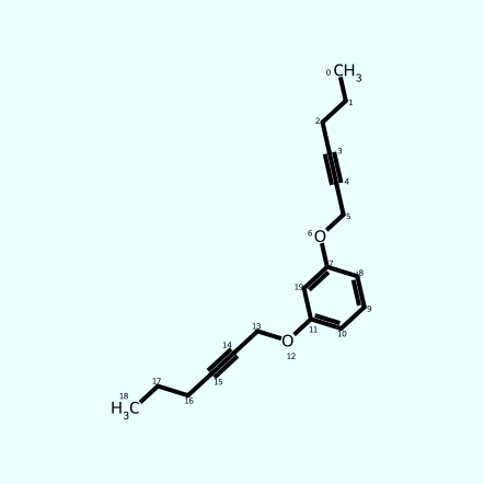 CCCC#CCOc1[c]ccc(OCC#CCCC)c1